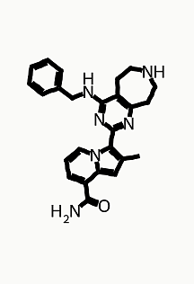 Cc1cc2c(C(N)=O)cccn2c1-c1nc2c(c(NCc3ccccc3)n1)CCNCC2